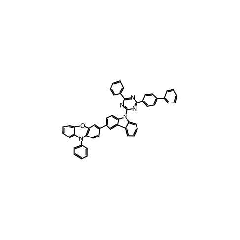 c1ccc(-c2ccc(-c3nc(-c4ccccc4)nc(-n4c5ccccc5c5cc(-c6ccc7c(c6)Oc6ccccc6N7c6ccccc6)ccc54)n3)cc2)cc1